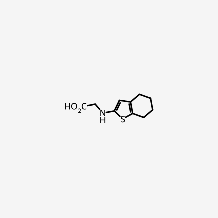 O=C(O)CNc1cc2c(s1)CCCC2